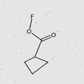 O=C(OF)C1CCC1